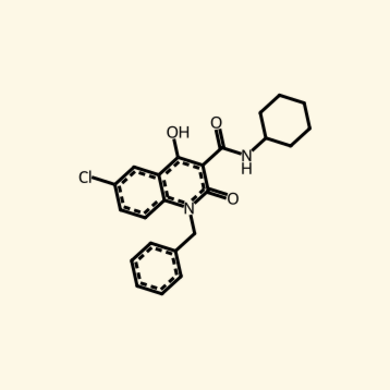 O=C(NC1CCCCC1)c1c(O)c2cc(Cl)ccc2n(Cc2ccccc2)c1=O